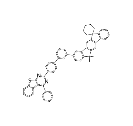 CC1(C)c2ccc(-c3cccc(-c4ccc(-c5nc(-c6ccccc6)c6c(n5)sc5ccccc56)cc4)c3)cc2-c2cc3c(cc21)-c1ccccc1C31CCCCC1